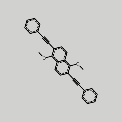 COc1c(C#Cc2ccccc2)ccc2c(OC)c(C#Cc3ccccc3)ccc12